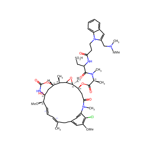 CNN(C)Cc1cc2ccccc2n1CCC(=O)NC(CS(=O)(=O)O)C(=O)N(C)[C@@H](C)C(=O)O[C@H]1CC(=O)N(C)c2cc(cc(OC)c2Cl)C/C(C)=C/C=C/[C@@H](OC)[C@@]2(O)C[C@H](OC(=O)N2)[C@@H](C)C2O[C@]21C